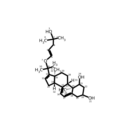 CC(C)(O)CC=COC(C)(C)C1=CC[C@H]2C3=CC=C4CC(O)CC(O)[C@]4(C)[C@H]3CC[C@]12C